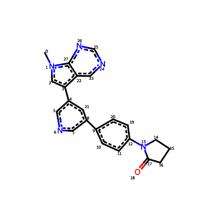 Cn1cc(-c2cncc(-c3ccc(N4CCCC4=O)cc3)c2)c2cncnc21